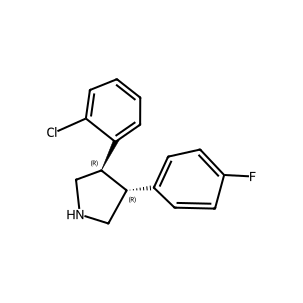 Fc1ccc([C@@H]2CNC[C@H]2c2ccccc2Cl)cc1